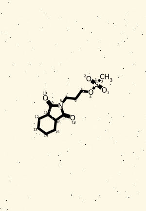 CS(=O)(=O)OCCCN1C(=O)C2CCCCC2C1=O